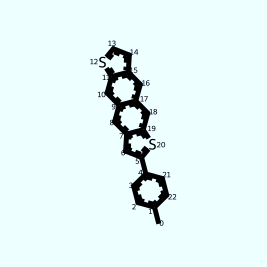 Cc1ccc(-c2cc3cc4cc5sccc5cc4cc3s2)cc1